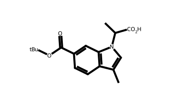 Cc1cn(C(C)C(=O)O)c2cc(C(=O)OC(C)(C)C)ccc12